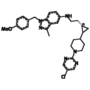 COc1ccc(Cn2nc(C)c3cc(NCC[C@@H]4CC4C4CCN(c5ncc(Cl)cn5)CC4)ccc32)cc1